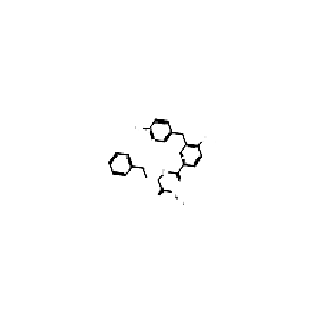 CC(C)(C)OC(=O)[C@H](CCc1ccccc1)NC(=O)c1ccc(N)c(Cc2ccc(O)cc2)c1